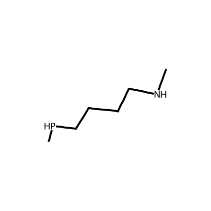 CNCCCCPC